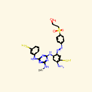 N#CNc1nc(Nc2cccc(S)c2)nc(Nc2cc(N)c(S)cc2/N=N/c2ccc(S(=O)(=O)CCO)cc2)n1